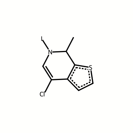 CC1c2sccc2C(Cl)=CN1I